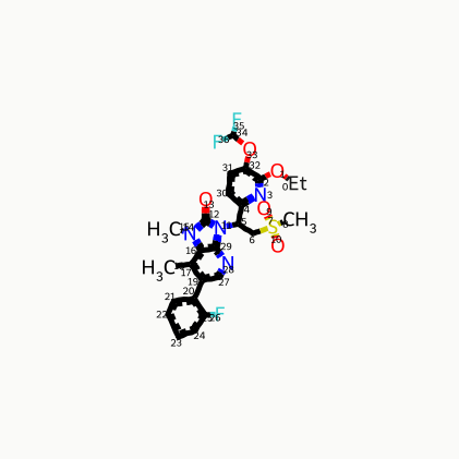 CCOc1nc(C(CS(C)(=O)=O)n2c(=O)n(C)c3c(C)c(-c4ccccc4F)cnc32)ccc1OC(F)F